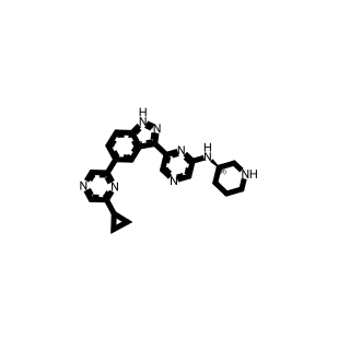 c1cc2[nH]nc(-c3cncc(N[C@@H]4CCCNC4)n3)c2cc1-c1cncc(C2CC2)n1